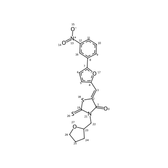 O=C1C(=Cc2ccc(-c3cccc([N+](=O)[O-])c3)o2)SC(=S)N1CC1CCCO1